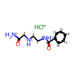 Cl.NC(=O)CNCCNC(=O)c1ccccc1